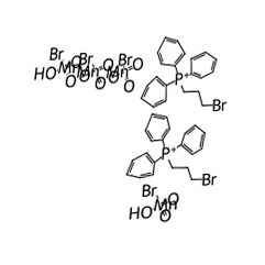 BrCCC[P+](c1ccccc1)(c1ccccc1)c1ccccc1.BrCCC[P+](c1ccccc1)(c1ccccc1)c1ccccc1.[O]=[Mn](=[O])([O-])[Br].[O]=[Mn](=[O])([O-])[Br].[O]=[Mn](=[O])([OH])[Br].[O]=[Mn](=[O])([OH])[Br]